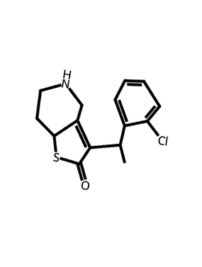 CC(C1=C2CNCCC2SC1=O)c1ccccc1Cl